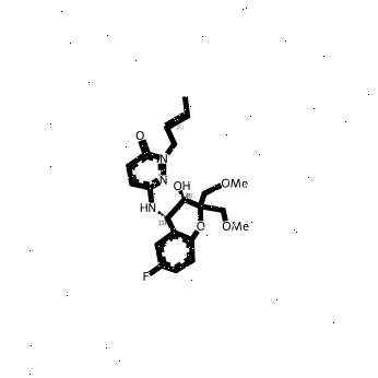 C/C=C/Cn1nc(N[C@H]2c3cc(F)ccc3OC(COC)(COC)[C@@H]2O)ccc1=O